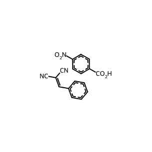 N#CC(C#N)=Cc1ccccc1.O=C(O)c1ccc([N+](=O)[O-])cc1